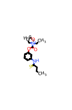 CCCC(=S)Nc1cccc(OC(=O)[N+](CC)(CC)OC)c1